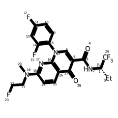 CC[C@H](NC(=O)c1cn(-c2ccc(F)cc2F)c2nc(N(C)CCF)ccc2c1=O)C(F)(F)F